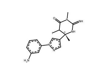 CN1C(=N)N[C@](C)(c2cnn(-c3cccc(N)c3)c2)C(I)C1=O